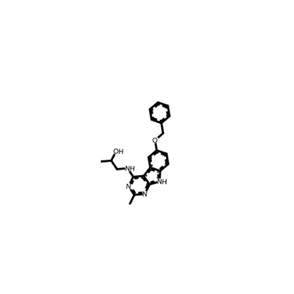 Cc1nc(NCC(C)O)c2c(n1)[nH]c1ccc(OCc3ccccc3)cc12